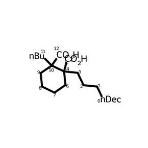 CCCCCCCCCCCCCC1(C(=O)O)CCCCC1(CCCC)C(=O)O